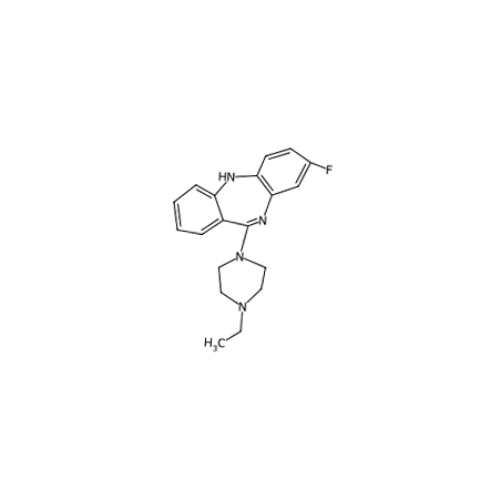 CCN1CCN(C2=Nc3cc(F)ccc3Nc3ccccc32)CC1